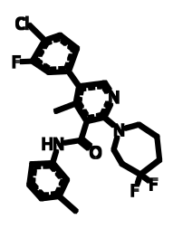 Cc1cccc(NC(=O)c2c(N3CCCC(F)(F)CC3)ncc(-c3ccc(Cl)c(F)c3)c2C)c1